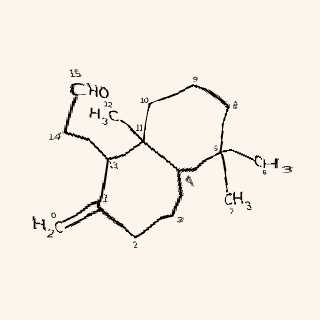 C=C1CCC2C(C)(C)CCCC2(C)C1CC=O